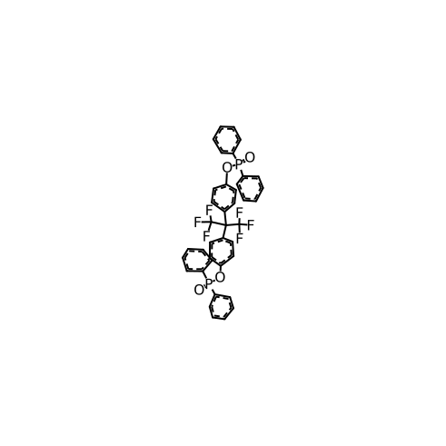 O=P(Oc1ccc(C(c2ccc(OP(=O)(c3ccccc3)c3ccccc3)cc2)(C(F)(F)F)C(F)(F)F)cc1)(c1ccccc1)c1ccccc1